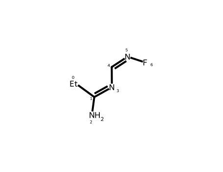 CC/C(N)=N\C=N/F